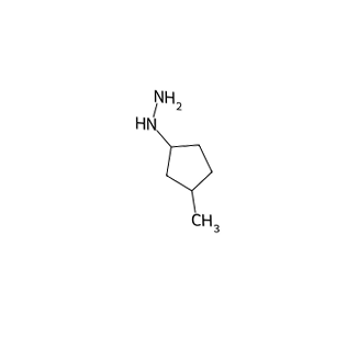 CC1CCC(NN)C1